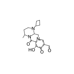 CC1CCN(C2CCC2)C2Cn3cc(C=O)c(=O)c(O)c3C(=O)N12